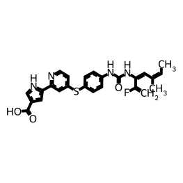 C=C(F)/C(=C\C(C)=C/C)NC(=O)Nc1ccc(Sc2ccnc(-c3cc(C(=O)O)c[nH]3)c2)cc1